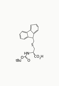 CC(C)(C)OC(=O)N[C@@H](CSCC1c2ccccc2-c2ccccc21)C(=O)O